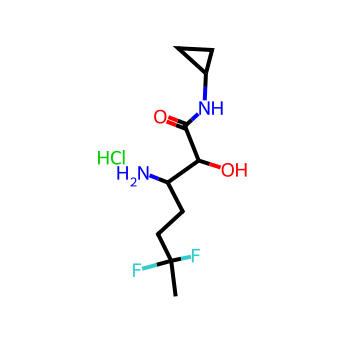 CC(F)(F)CCC(N)C(O)C(=O)NC1CC1.Cl